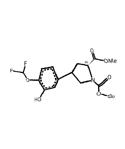 COC(=O)[C@H]1CC(c2ccc(OC(F)F)c(O)c2)CN1C(=O)OC(C)(C)C